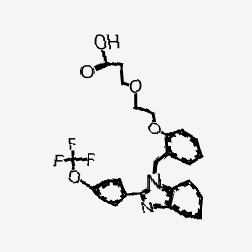 O=C(O)CCOCCOc1ccccc1Cn1c(-c2ccc(OC(F)(F)F)cc2)nc2ccccc21